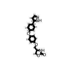 O=C1NC(COc2ccc(Oc3ccc(-c4ccn[nH]4)cc3)cc2)CO1